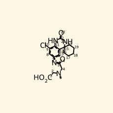 CN(CC(=O)O)Cc1nc2cc(Cl)c3c(c2o1)C1(CCCCC1)NC(=O)N3